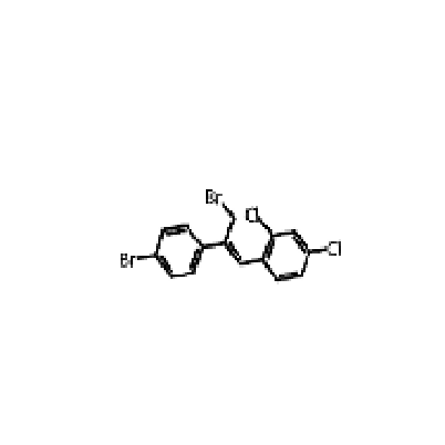 Clc1ccc(C=C(CBr)c2ccc(Br)cc2)c(Cl)c1